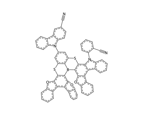 N#Cc1ccc2c(c1)c1ccccc1n2-c1cc2c3c(c1)Sc1c(c4oc5ccccc5c4c4c5ccccc5n(-c5ccccc5C#N)c14)B3c1c(c3oc4ccccc4c3c3c1oc1ccccc13)S2